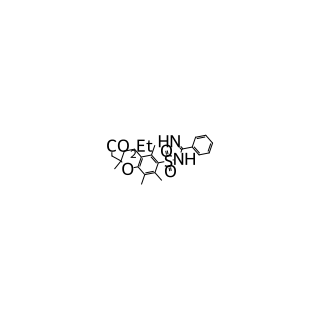 CCOC(=O)CC1(C)CCc2c(C)c(S(=O)(=O)NC(=N)c3ccccc3)c(C)c(C)c2O1